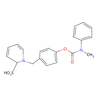 CN(C(=O)Oc1ccc(CN2C=CC=CC2S(=O)(=O)O)cc1)c1ccccc1